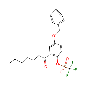 CCCCCCC(=O)c1cc(OCc2ccccc2)ccc1OS(=O)(=O)C(F)(F)F